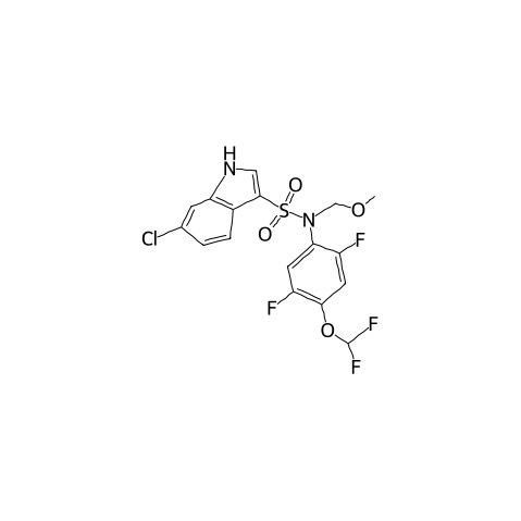 COCN(c1cc(F)c(OC(F)F)cc1F)S(=O)(=O)c1c[nH]c2cc(Cl)ccc12